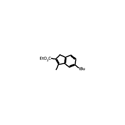 CCOC(=O)C1=C(C)c2cc(C(C)(C)C)ccc2C1